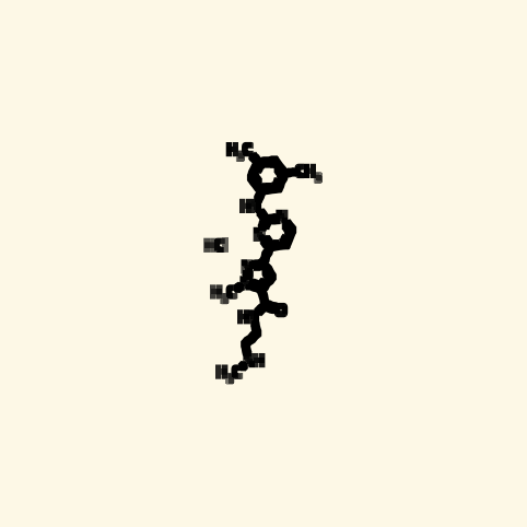 CNCCNC(=O)c1cc(-c2ccnc(Nc3cc(C)cc(C)c3)n2)nn1C.Cl